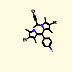 CCC#CB(C)n1c(C)c(CC)c(C)c1/C(=C1\N=C(C)C(CC)=C1C)c1ccc(I)cc1